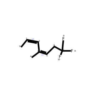 C/C=C\C(C)=C/CC(F)(F)F